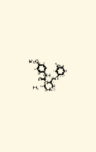 COc1ccc(NC(=O)N2CCNCC2COc2cccc(F)c2)cc1.Cl